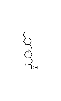 CCC1CCC(CN2CCCC(CC(=O)O)C2)CC1